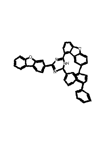 c1ccc(-c2ccc(-c3ccc4oc5cccc(C6=NC(c7ccc8c(c7)oc7ccccc78)=NC(c7ccccc7)N6)c5c4c3)cc2)cc1